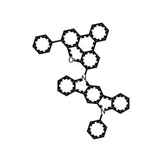 c1ccc(-c2ccc3c4ccccc4c4ccc(-n5c6ccccc6c6cc7c(cc65)c5ccccc5n7-c5ccccc5)c5oc2c3c54)cc1